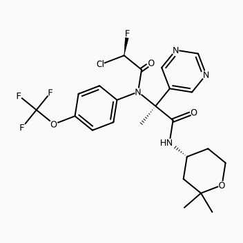 CC1(C)C[C@H](NC(=O)[C@](C)(c2cncnc2)N(C(=O)[C@H](F)Cl)c2ccc(OC(F)(F)F)cc2)CCO1